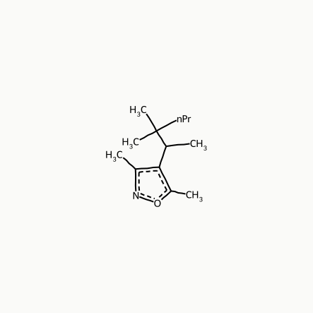 CCCC(C)(C)C(C)c1c(C)noc1C